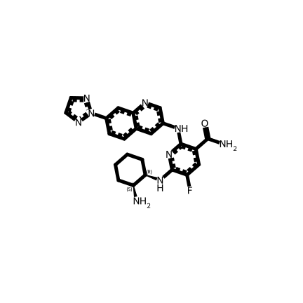 NC(=O)c1cc(F)c(N[C@@H]2CCCC[C@@H]2N)nc1Nc1cnc2cc(-n3nccn3)ccc2c1